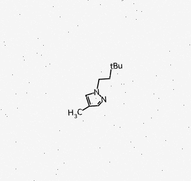 Cc1cnn(CCC(C)(C)C)c1